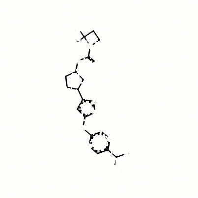 C[C@H](O)c1cnc(Nc2cc(C3CCC(OC(=O)N4CCC4(C)C)C3)[nH]n2)cn1